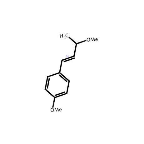 COc1ccc(/C=C/C(C)OC)cc1